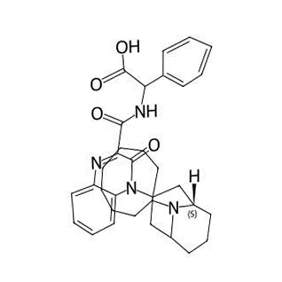 O=C(NC(C(=O)O)c1ccccc1)c1nc2ccccc2n(C2CC3CCC[C@@H](C2)N3C2CCCCCCC2)c1=O